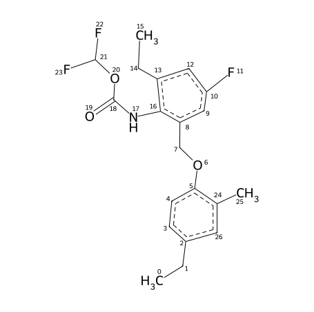 CCc1ccc(OCc2cc(F)cc(CC)c2NC(=O)OC(F)F)c(C)c1